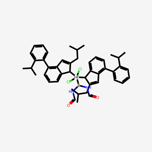 CC(C)CC1=Cc2c(-c3ccccc3C(C)C)cccc2[CH]1[Hf]([Cl])([Cl])([B](NC=O)NC=O)[CH]1C(CC(C)C)=Cc2c(-c3ccccc3C(C)C)cccc21